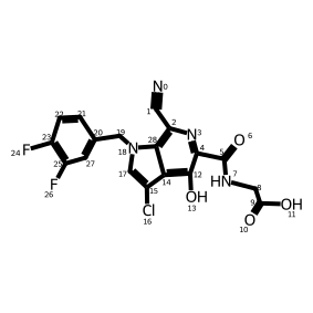 N#Cc1nc(C(=O)NCC(=O)O)c(O)c2c(Cl)cn(Cc3ccc(F)c(F)c3)c12